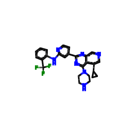 FC(F)(F)c1ccccc1Nc1cc(-c2nc(N3CCNCC3)c3c(C4CC4)cncc3n2)ccn1